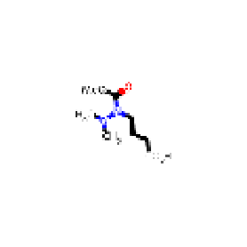 COC(=O)N(CCCC(=O)O)N(C)C